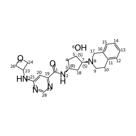 O=C(N[C@H]1C[C@H](O)[C@@H](N2CCc3ccccc3C2)C1)c1cc(NC2COC2)ncn1